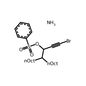 CCCCCCCCC(CCCCCCCC)C(C#CBr)OS(=O)(=O)c1ccccc1.N